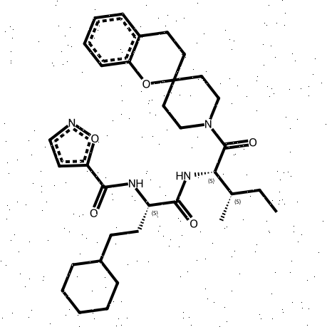 CC[C@H](C)[C@H](NC(=O)[C@H](CCC1CCCCC1)NC(=O)c1ccno1)C(=O)N1CCC2(CCc3ccccc3O2)CC1